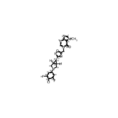 Cn1cnc2ncn(Cc3nc([C@H]4[C@@H]5CN(c6cc(F)c(Cl)c(F)c6)C[C@@H]54)no3)c(=O)c21